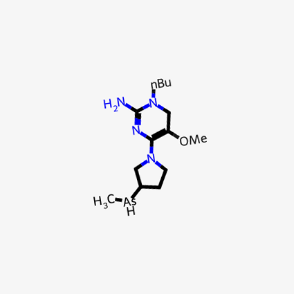 CCCCN1CC(OC)=C(N2CCC([AsH]C)C2)N=C1N